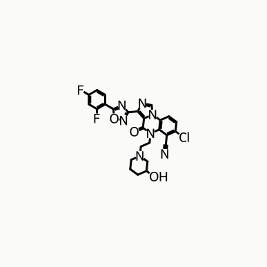 N#Cc1c(Cl)ccc2c1n(CCN1CCCC(O)C1)c(=O)c1c(-c3noc(-c4ccc(F)cc4F)n3)ncn12